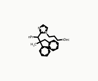 CCCCCCCCCCCCCn1ccnc1C(CCC)C(C)(Cc1ccccc1)c1ccccc1